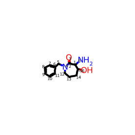 NC1C(=O)N(Cc2ccccc2)CCCC1O